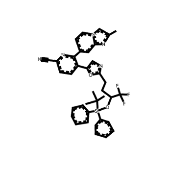 Cc1cn2ccc(-c3nc(C#N)ccc3-c3cnc(CCC(O[Si](c4ccccc4)(c4ccccc4)C(C)(C)C)C(F)(F)F)o3)cc2n1